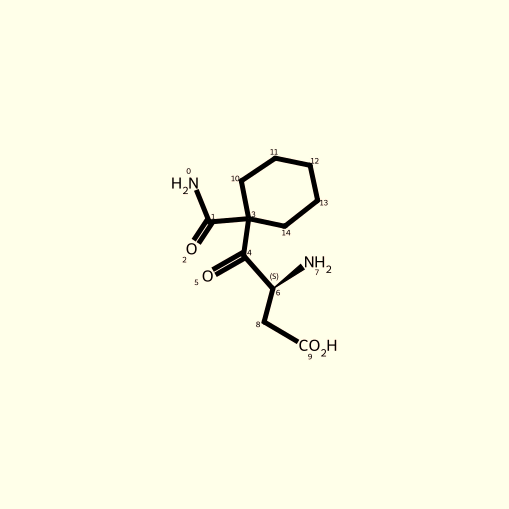 NC(=O)C1(C(=O)[C@@H](N)CC(=O)O)CCCCC1